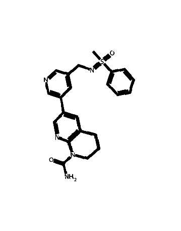 CS(=O)(=NCc1cncc(-c2cnc3c(c2)CCCN3C(N)=O)c1)c1ccccc1